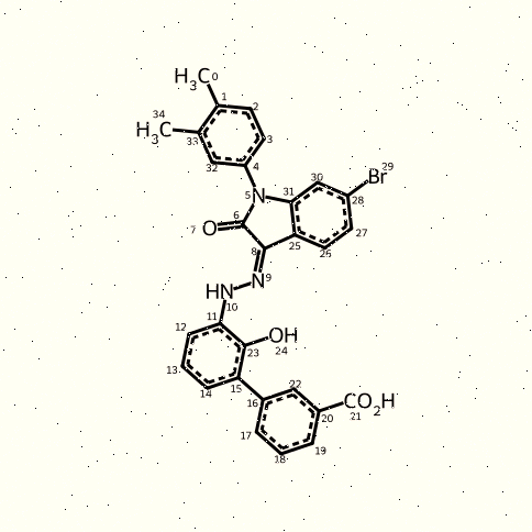 Cc1ccc(N2C(=O)/C(=N\Nc3cccc(-c4cccc(C(=O)O)c4)c3O)c3ccc(Br)cc32)cc1C